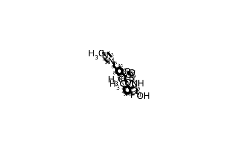 CN1CCN(CCc2ccc(C3C(C)(C)OC(N[C@@H](CCO)c4ccccc4F)=NS3(=O)=O)cc2)CC1